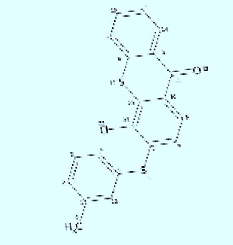 Cc1cccc(Sc2ccc3c(=O)c4ccccc4sc3c2Cl)c1